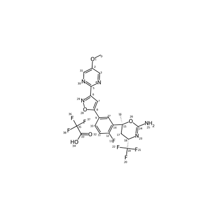 COc1cnc(-c2cc(-c3ccc(F)c([C@]4(C)C[C@@H](C(F)(F)F)N=C(N)O4)c3)on2)nc1.O=C(O)C(F)(F)F